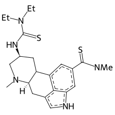 CCN(CC)C(=S)N[C@H]1CC2c3cc(C(=S)NC)cc4[nH]cc(c34)C[C@H]2N(C)C1